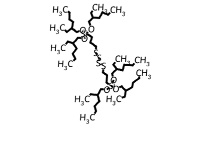 CCCCC(CC)CO[Si](CCCSSSSCCC[Si](OCC(CC)CCCC)(OCC(CC)CCCC)OCC(CC)CCCC)(OCC(CC)CCCC)OCC(CC)CCCC